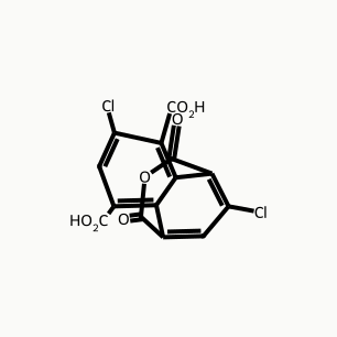 O=C(O)c1cc(Cl)c(C(=O)O)c2c3c(Cl)cc(c(=O)oc3=O)c12